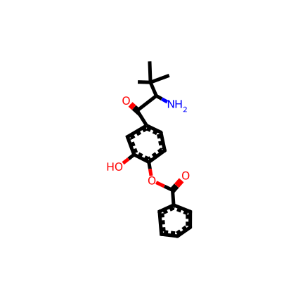 CC(C)(C)C(N)C(=O)c1ccc(OC(=O)c2ccccc2)c(O)c1